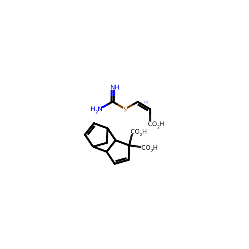 N=C(N)S/C=C\C(=O)O.O=C(O)C1(C(=O)O)C=CC2C3C=CC(C3)C21